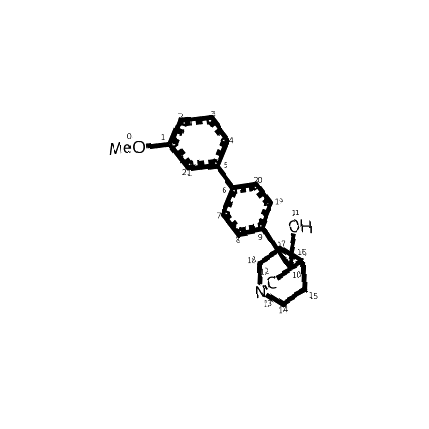 COc1cccc(-c2ccc(C3(O)CN4CCC3CC4)cc2)c1